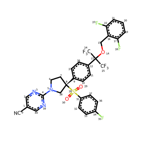 N#Cc1cnc(N2CC[C@](c3ccc(C(OCc4c(F)cccc4F)(C(F)(F)F)C(F)(F)F)cc3)(S(=O)(=O)c3ccc(F)cc3)C2)nc1